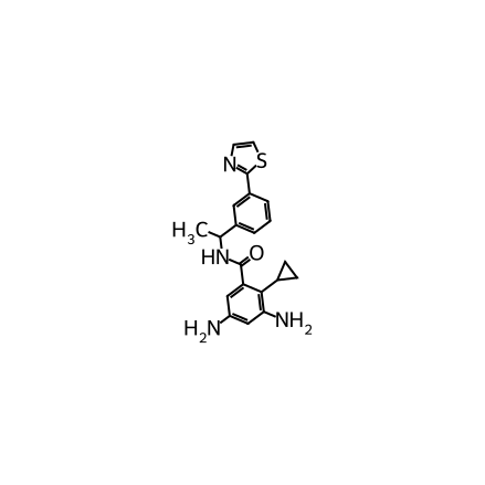 CC(NC(=O)c1cc(N)cc(N)c1C1CC1)c1cccc(-c2nccs2)c1